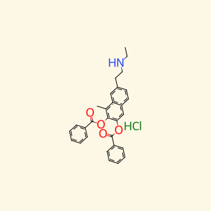 CCNCCc1ccc2cc(OC(=O)c3ccccc3)c(OC(=O)c3ccccc3)c(C)c2c1.Cl